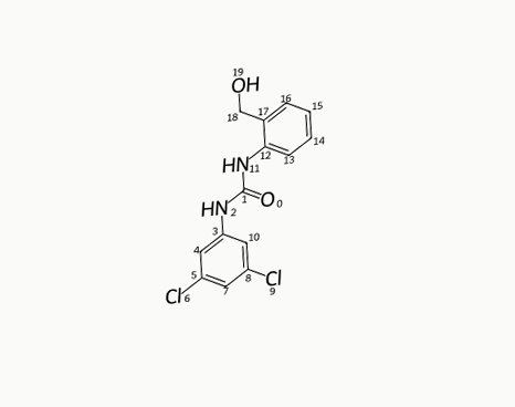 O=C(Nc1cc(Cl)cc(Cl)c1)Nc1ccccc1CO